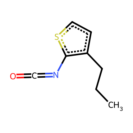 CCCc1ccsc1N=C=O